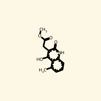 COC(=O)Cc1c(O)c2c(C)cccc2[nH]c1=O